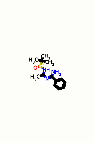 CC(N=C(N)c1ccccc1)N[S+]([O-])C(C)(C)C